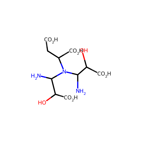 NC(C(O)C(=O)O)N(C(CC(=O)O)C(=O)O)C(N)C(O)C(=O)O